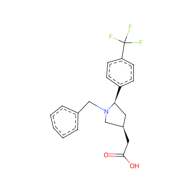 O=C(O)C[C@@H]1C[C@H](c2ccc(C(F)(F)F)cc2)N(Cc2ccccc2)C1